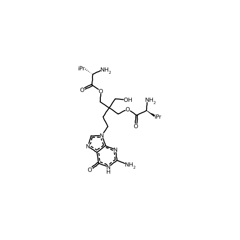 CC(C)[C@H](N)C(=O)OCC(CO)(CCn1cnc2c(=O)[nH]c(N)nc21)COC(=O)[C@@H](N)C(C)C